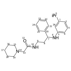 CC(C)c1cccc(NC(CCNC(=O)CN2CCCCC2)c2ccccc2)c1